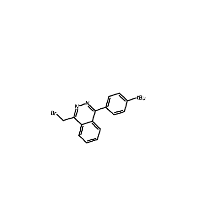 CC(C)(C)c1ccc(-c2nnc(CBr)c3ccccc23)cc1